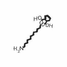 CCCCCCCCCCCCN.O=C(O)c1ccccc1C(=O)O